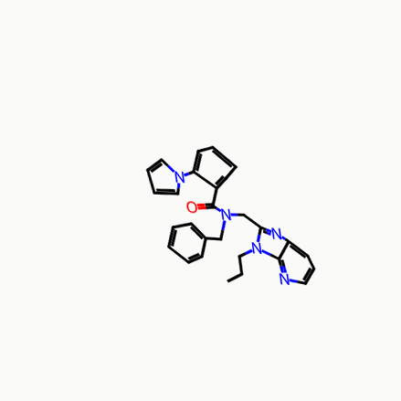 CCCn1c(CN(Cc2ccccc2)C(=O)c2ccccc2-n2cccc2)nc2cccnc21